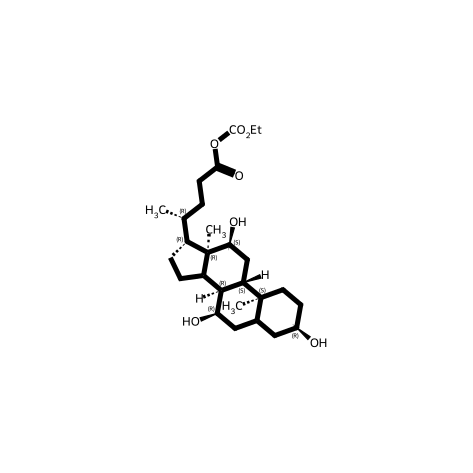 CCOC(=O)OC(=O)CC[C@@H](C)[C@H]1CCC2[C@@H]3[C@H](O)CC4C[C@H](O)CC[C@]4(C)[C@H]3C[C@H](O)[C@@]21C